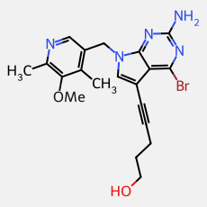 COc1c(C)ncc(Cn2cc(C#CCCCO)c3c(Br)nc(N)nc32)c1C